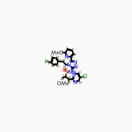 COc1cccc(-c2nnc(N[S+]([O-])C(C)C(OC)c3ncc(Cl)cn3)n2CCc2ccc(F)cc2)n1